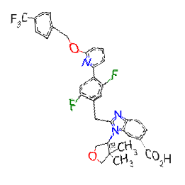 CC1(C)COC[C@H]1n1c(Cc2cc(F)c(-c3cccc(OCc4ccc(C(F)(F)F)cc4)n3)cc2F)nc2ccc(C(=O)O)cc21